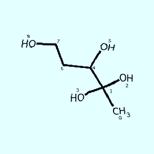 CC(O)(O)C(O)CCO